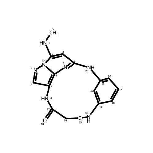 CNc1cc2nc3c(cnn13)NC(=O)CCNc1cccc(c1)N2